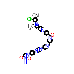 CC1CC2(CCN(c3ccc(C(=O)N4CCC(CN5CCC(N6CCN(c7ccc(N8CCC(=O)NC8=O)cc7)CC6)CC5)CC4)cc3)CC2)CN1c1ccc(C#N)c(Cl)c1